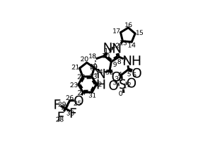 CS(=O)(=O)CC(=O)Nc1c2c(nn1C1CCCC1)C[C@]1(CCc3cc(OCC(F)(F)F)ccc31)NC2=O